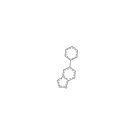 [c]1ccccc1-c1ccc2occc2c1